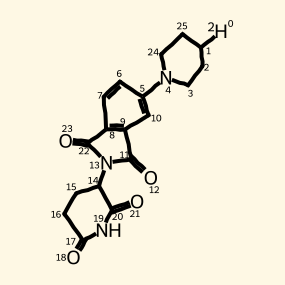 [2H]C1CCN(c2ccc3c(c2)C(=O)N(C2CCC(=O)NC2=O)C3=O)CC1